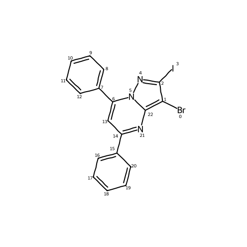 Brc1c(I)nn2c(-c3ccccc3)cc(-c3ccccc3)nc12